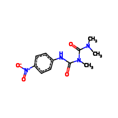 CN(C)C(=O)N(C)C(=O)Nc1ccc([N+](=O)[O-])cc1